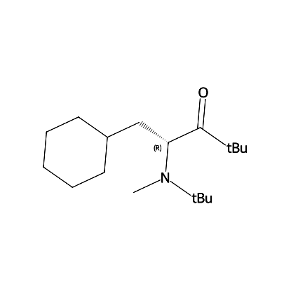 CN([C@H](CC1CCCCC1)C(=O)C(C)(C)C)C(C)(C)C